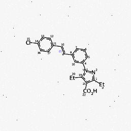 CCc1nn(-c2cccc(/C=C/c3ccc(Cl)cc3)c2)c(CC)c1C(=O)O